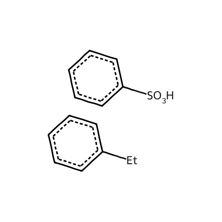 CCc1ccccc1.O=S(=O)(O)c1ccccc1